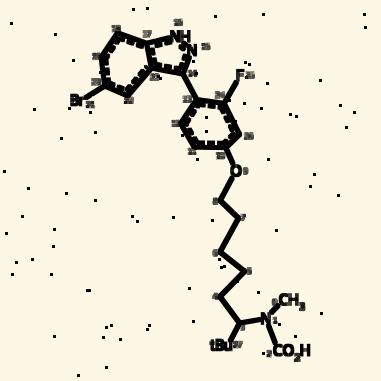 CN(C(=O)O)C(CCCCCOc1ccc(-c2n[nH]c3ccc(Br)cc23)c(F)c1)C(C)(C)C